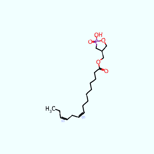 CC/C=C\C/C=C\CCCCCCCC(=O)OCC1COP(=O)(O)C1